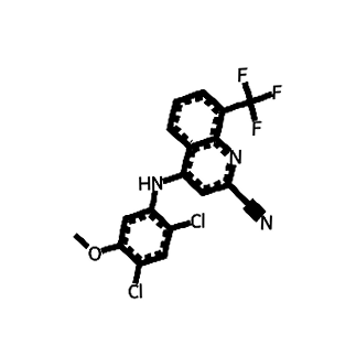 COc1cc(Nc2cc(C#N)nc3c(C(F)(F)F)cccc23)c(Cl)cc1Cl